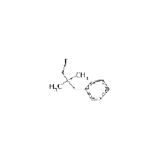 CC(C)(CF)Cc1ccccc1